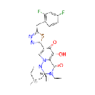 CCN1C(=O)c2c(O)c(=O)c(-c3nnc(Cc4ccc(F)cc4F)s3)cn2N2CC[C@@H](C)C[C@@H]12